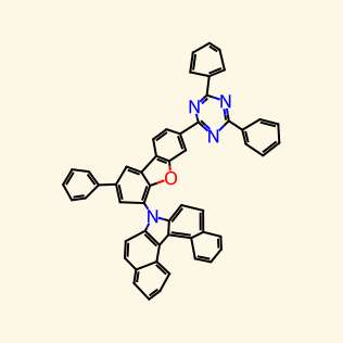 c1ccc(-c2cc(-n3c4ccc5ccccc5c4c4c5ccccc5ccc43)c3oc4cc(-c5nc(-c6ccccc6)nc(-c6ccccc6)n5)ccc4c3c2)cc1